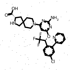 Nc1nc(O[C@H](c2ccc(Cl)cc2-c2ccccn2)C(F)(F)F)cc(N2CCC3(CC2)CN[C@H](C(=O)O)C3)n1